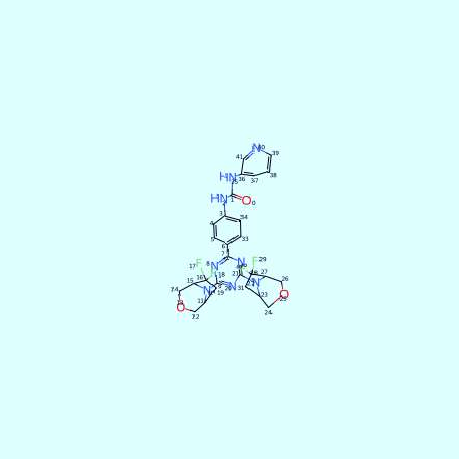 O=C(Nc1ccc(-c2nc(N3C4COCC3C(F)(F)C4)nc(N3C4COCC3C(F)(F)C4)n2)cc1)Nc1cccnc1